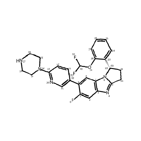 Fc1cc2nc3n(c2cc1-c1ccc(N2CCNCC2)nc1)[C@H](c1ccccc1OC(F)F)CC3